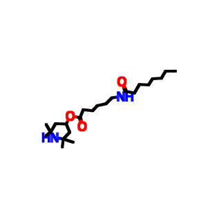 CCCCCCCC(=O)NCCCCCC(=O)OC1CC(C)(C)NC(C)(C)C1